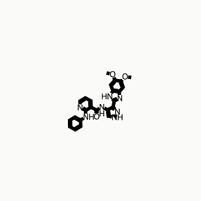 COc1cc2nc(-c3n[nH]cc3NC(=O)c3cccnc3Nc3ccccc3)[nH]c2cc1OC